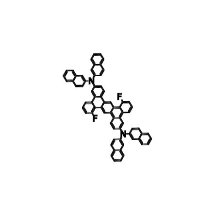 Fc1cccc2c3cc(N(c4ccc5ccccc5c4)c4ccc5ccccc5c4)ccc3c3cc4c(cc3c12)c1ccc(N(c2ccc3ccccc3c2)c2ccc3ccccc3c2)cc1c1cccc(F)c14